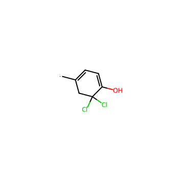 [CH2]C1=CC=C(O)C(Cl)(Cl)C1